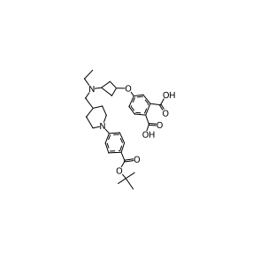 CCN(CC1CCN(c2ccc(C(=O)OC(C)(C)C)cc2)CC1)C1CC(Oc2ccc(C(=O)O)c(C(=O)O)c2)C1